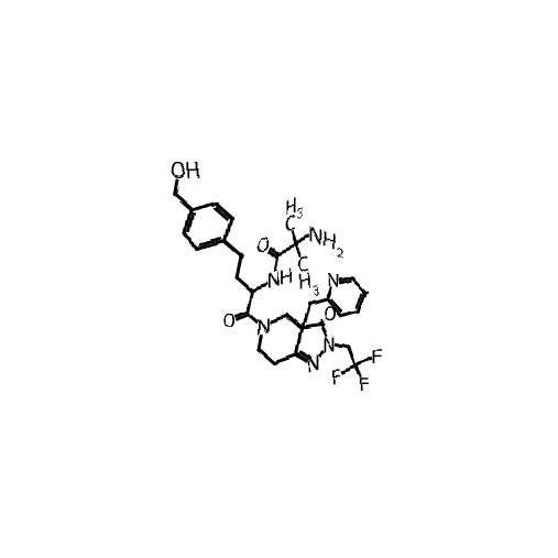 CC(C)(N)C(=O)NC(CCc1ccc(CO)cc1)C(=O)N1CCC2=NN(CC(F)(F)F)C(=O)C2(Cc2ccccn2)C1